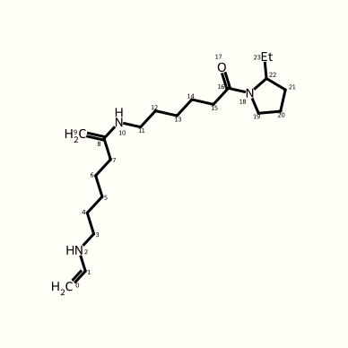 C=CNCCCCCC(=C)NCCCCCC(=O)N1CCCC1CC